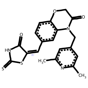 Cc1cc(CN2C(=O)COc3ccc(/C=C4/SC(=S)NC4=O)cc32)cc(C)n1